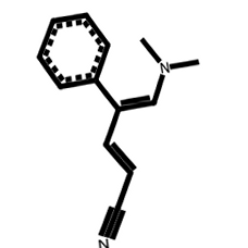 CN(C)/C=C(/C=C/C#N)c1ccccc1